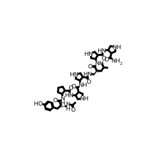 CC(=O)NC[C@H](Cc1ccc(O)cc1)C(=O)NC1CCCC1C(=O)NC1CNCC1C(=O)NC1CNCC1C(=O)NC[C@H](CC(C)C)C(=O)NC1CNCC1C(=O)NC1CNCC1C(N)=O